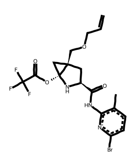 C=CCOC[C@@]12C[C@@H](C(=O)Nc3nc(Br)ccc3C)N[C@@]1(OC(=O)C(F)(F)F)C2